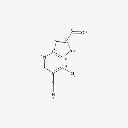 N#Cc1cnc2cc(C=O)sc2c1Cl